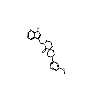 COc1cncc(N2CCC3(CCCN(Cc4c[nH]c5ncccc45)C3=O)CC2)n1